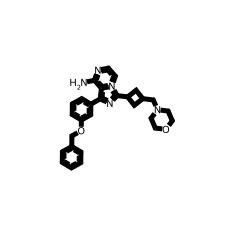 Nc1nccn2c(C3CC(CN4CCOCC4)C3)nc(-c3cccc(OCc4ccccc4)c3)c12